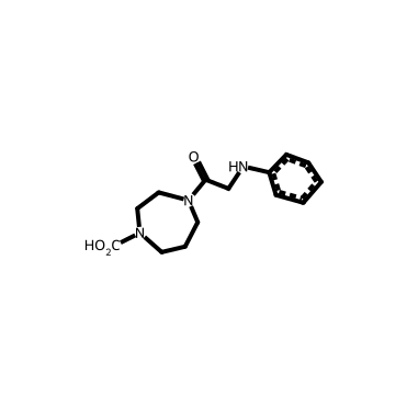 O=C(O)N1CCCN(C(=O)CNc2ccccc2)CC1